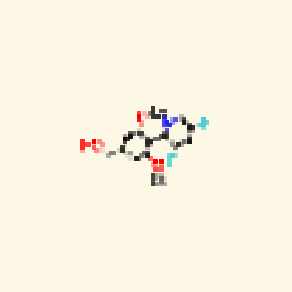 CCOc1cc(CO)cc(OCC)c1-c1ncc(F)cc1F